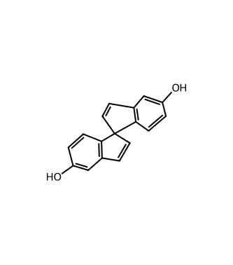 Oc1ccc2c(c1)C=CC21C=Cc2cc(O)ccc21